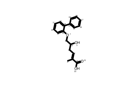 C/C(=C\CC(O)COc1ccccc1-c1ccccc1)C(=O)O